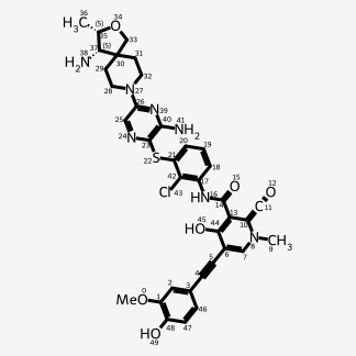 COc1cc(C#CC2=CN(C)C(=C=O)C(C(=O)Nc3cccc(Sc4ncc(N5CCC6(CC5)CO[C@@H](C)[C@H]6N)nc4N)c3Cl)=C2O)ccc1O